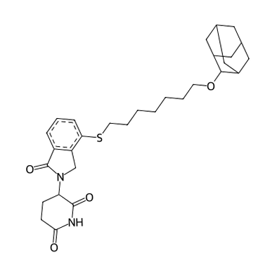 O=C1CCC(N2Cc3c(SCCCCCCCOC4C5CC6CC(C5)CC4C6)cccc3C2=O)C(=O)N1